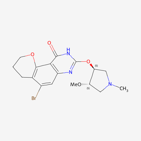 CO[C@H]1CN(C)C[C@@H]1Oc1nc2cc(Br)c3c(c2c(=O)[nH]1)OCCC3